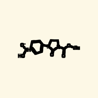 CC(C)(C)OC(=O)N1CCN(c2ccc([NH+]([O-])O)cc2)C1=O